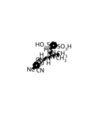 CN(C)c1nc(NCCNS(=O)(=O)c2ccc(C#N)c(C#N)c2)nc(Nc2cc(S(=O)(=O)O)ccc2S(=O)(=O)O)n1